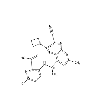 Cc1cc([C@@H](C)Nc2ccc(Cl)nc2C(=O)O)c2nc(N3CCC3)c(C#N)nc2c1